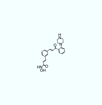 O=C(C=Cc1cccc(C=CC(=O)c2ccccc2N2CCNCC2)c1)NO